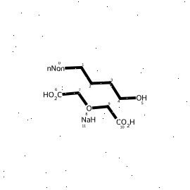 CCCCCCCCCCCCCO.O=C(O)COCC(=O)O.[NaH]